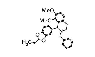 C=CC1Oc2ccc(C3c4c(ccc(OC)c4OC)CCN3Cc3ccccc3)cc2O1